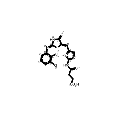 O=C(O)CCC(=O)Nc1ncc(C=C2SC(=Nc3cccc(Cl)c3Cl)NC2=O)s1